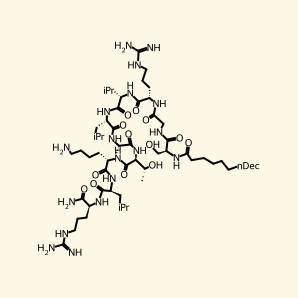 CCCCCCCCCCCCCCCC(=O)N[C@@H](CO)C(=O)NCC(=O)N[C@@H](CCCNC(=N)N)C(=O)N[C@H](C(=O)N[C@@H](CC(C)C)C(=O)N[C@@H](C)C(=O)N[C@H](C(=O)N[C@@H](CCCCN)C(=O)N[C@@H](CC(C)C)C(=O)N[C@@H](CCCNC(=N)N)C(N)=O)[C@@H](C)O)C(C)C